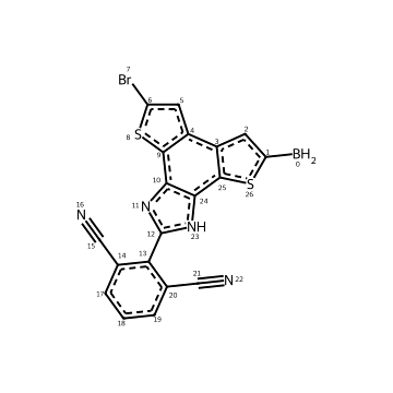 Bc1cc2c3cc(Br)sc3c3nc(-c4c(C#N)cccc4C#N)[nH]c3c2s1